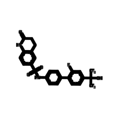 O=C1CCc2cc(S(=O)(=O)Nc3ccc(-c4ccc(C(O)(C(F)(F)F)C(F)(F)F)cc4F)cc3)ccc2N1